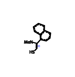 CN/C(=C\S)c1cccc2ccccc12